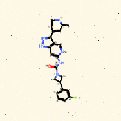 Cc1cc(-c2n[nH]c3cc(NC(=O)N4CC(c5cccc(F)c5)C4)ncc23)ccn1